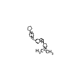 CC(C)N1CCC(n2ccc3cc(CN4CCN(C5CCCC5)CC4)ccc32)C1